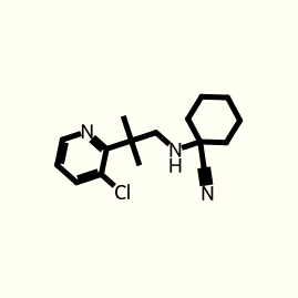 CC(C)(CNC1(C#N)CCCCC1)c1ncccc1Cl